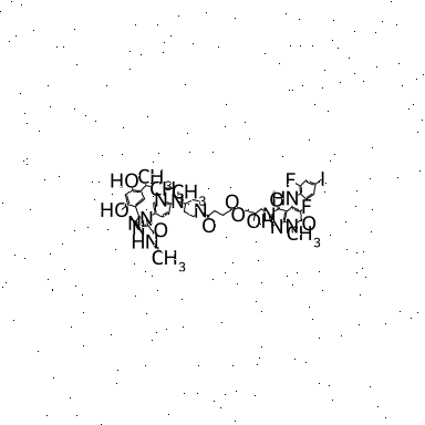 CCNC(=O)c1nnc(-c2cc(C(C)C)c(O)cc2O)n1-c1ccc(N(C)C2CCN(C(=O)CCC(=O)OCC(O)Cn3cnc4c(c(Nc5ccc(I)cc5F)c(F)c(=O)n4C)c3=O)CC2)nc1